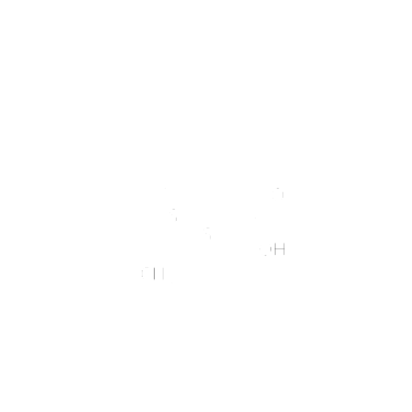 CCS(=S)c1ccccc1CCC(=O)O